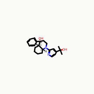 CC(C)(O)c1ccnc(N2CC[C@](O)(c3ccccc3)[C@H]3CCCC[C@H]32)c1